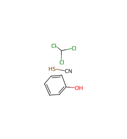 ClC(Cl)Cl.N#CS.Oc1ccccc1